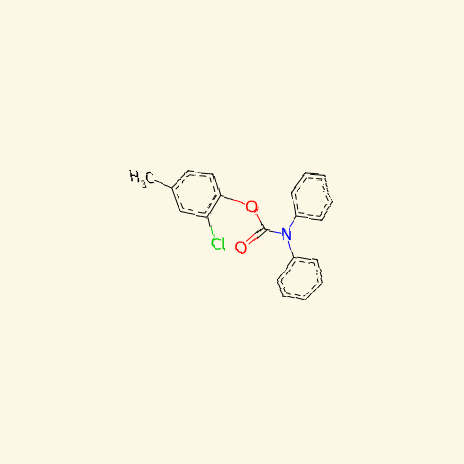 Cc1ccc(OC(=O)N(c2ccccc2)c2ccccc2)c(Cl)c1